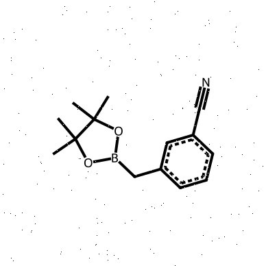 CC1(C)OB(Cc2cccc(C#N)c2)OC1(C)C